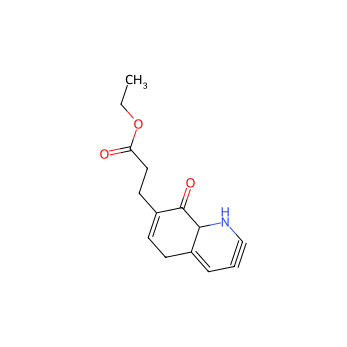 CCOC(=O)CCC1=CCC2=CC#CNC2C1=O